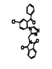 O=C(c1ccccc1)c1cc(Cl)ccc1-n1cnnc1CN1C(=O)c2ccccc2C1=O